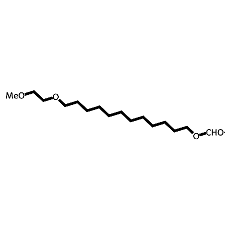 COCCOCCCCCCCCCCCCO[C]=O